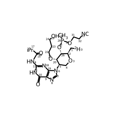 [2H]C[C@H]1OC[C@@H](n2cnc3c(=O)[nH]c(NC(=O)C(C)C)nc32)[C@H](OCCCO)[C@@H]1OP(C)OCC[N+]#[C-]